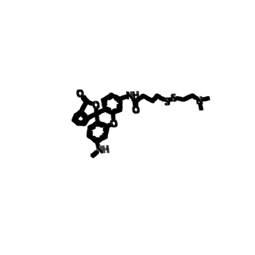 CNc1ccc2c(c1)Oc1cc(NC(=O)CCCSSCCN(C)C)ccc1C21OC(=O)c2ccccc21